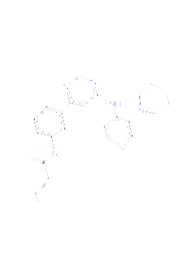 CC=CC(=O)Nc1cccc(-c2cc(Nc3ccccc3N3CCOCC3)ncn2)c1